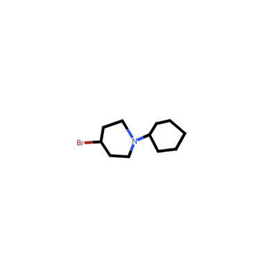 BrC1CCN(C2CCCCC2)CC1